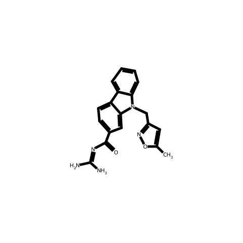 Cc1cc(Cn2c3ccccc3c3ccc(C(=O)N=C(N)N)cc32)no1